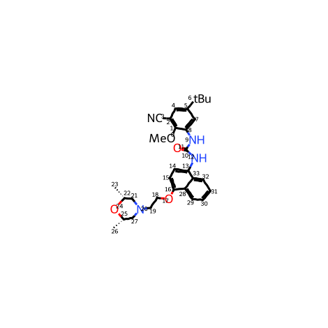 COc1c(C#N)cc(C(C)(C)C)cc1NC(=O)Nc1ccc(OCCN2C[C@@H](C)O[C@@H](C)C2)c2ccccc12